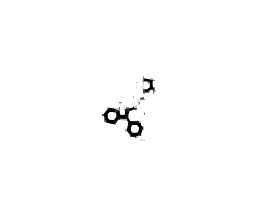 CC[C@H]1CN[C@H](CNC(=O)c2[nH]c3ccccc3c2-c2ccc(F)cc2)[C@@H]1O